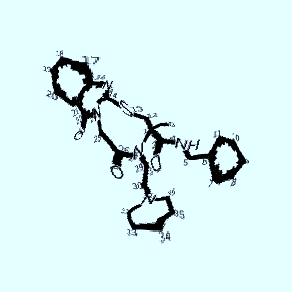 CC1(C(=O)NCc2ccccc2)CSc2nc3ccccc3c(=O)n2CC(=O)N1CCN1CCCCC1